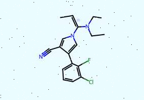 C/C=C(/N(CC)CC)n1cc(C#N)c(-c2cccc(Cl)c2F)c1